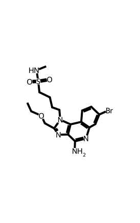 CCOCc1nc2c(N)nc3cc(Br)ccc3c2n1CCCCS(=O)(=O)NC